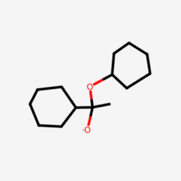 CC([O])(OC1CCCCC1)C1CCCCC1